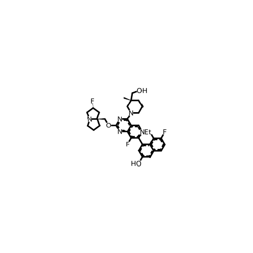 CCc1c(F)ccc2cc(O)cc(-c3ncc4c(N5CCC[C@@](C)(CO)C5)nc(OC[C@@]56CCCN5C[C@H](F)C6)nc4c3F)c12